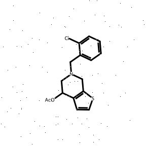 CC(=O)OC1CN(Cc2ccccc2Cl)Cc2sccc21